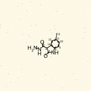 NNC(=O)C1C(=O)Nc2ccc(I)cc21